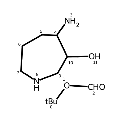 CC(C)(C)OC=O.NC1CCCNCC1O